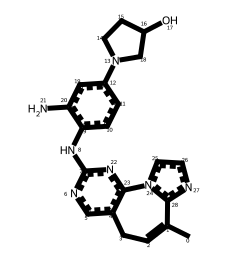 CC1=CCc2cnc(Nc3ccc(N4CCC(O)C4)cc3N)nc2-n2ccnc21